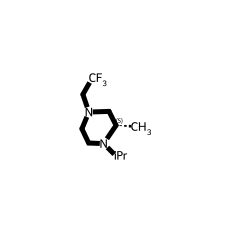 CC(C)N1CCN(CC(F)(F)F)C[C@@H]1C